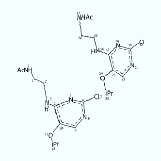 CC(=O)NCCNc1nc(Cl)ncc1OC(C)C.CC(=O)NCCNc1nc(Cl)ncc1OC(C)C